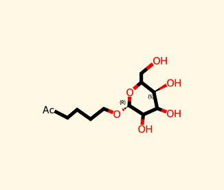 CC(=O)CCCCO[C@@H]1OC(CO)[C@@H](O)C(O)C1O